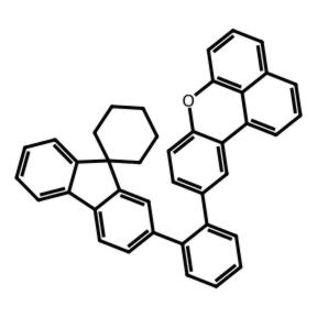 c1ccc(-c2ccc3c(c2)C2(CCCCC2)c2ccccc2-3)c(-c2ccc3c(c2)-c2cccc4cccc(c24)O3)c1